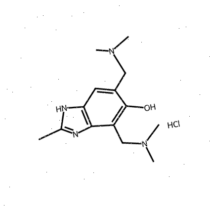 Cc1nc2c(CN(C)C)c(O)c(CN(C)C)cc2[nH]1.Cl